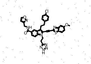 COc1ccc2sc(C#Cc3c(CCc4ccc(Cl)cc4)c4cc(C(=O)NCc5ccon5)ccc4n3CCc3nn[nH]n3)nc2c1